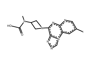 CN(C(=O)O)C1CN(c2nc3ncc(I)cc3n3cnnc23)C1